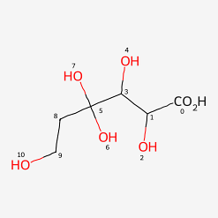 O=C(O)C(O)C(O)C(O)(O)CCO